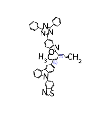 C=C/C=C(\C=C(/C)c1ccc2c(c1)c1ccccc1n2-c1ccc2scnc2c1)c1nc2cc(-c3nc(-c4ccccc4)nc(-c4ccccc4)n3)ccc2o1